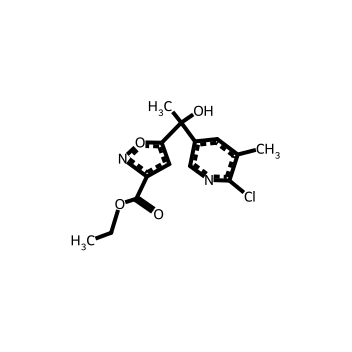 CCOC(=O)c1cc(C(C)(O)c2cnc(Cl)c(C)c2)on1